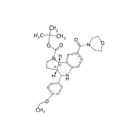 CCOc1ccc(C2Nc3ccc(C(=O)N4CCOCC4)cc3[C@@H]3[C@H]2CCN3C(=O)OC(C)(C)C)cc1